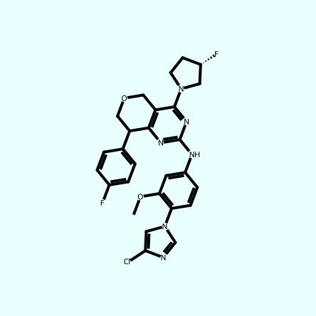 COc1cc(Nc2nc3c(c(N4CC[C@H](F)C4)n2)COCC3c2ccc(F)cc2)ccc1-n1cnc(Cl)c1